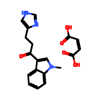 Cn1cc(C(=O)CCc2c[nH]cn2)c2ccccc21.O=C(O)/C=C\C(=O)O